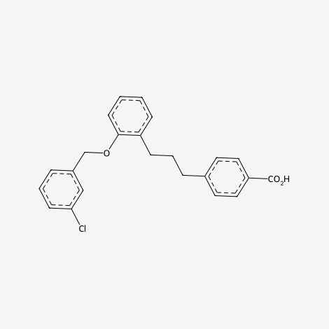 O=C(O)c1ccc(CCCc2ccccc2OCc2cccc(Cl)c2)cc1